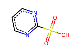 O=S(=O)(O)c1ncccn1